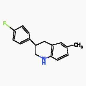 Cc1ccc2c(c1)CC(c1ccc(F)cc1)CN2